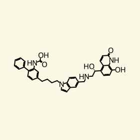 O=C(O)Nc1cc(CCCCn2ccc3cc(CNC[C@H](O)c4ccc(O)c5[nH]c(=O)ccc45)ccc32)ccc1-c1ccccc1